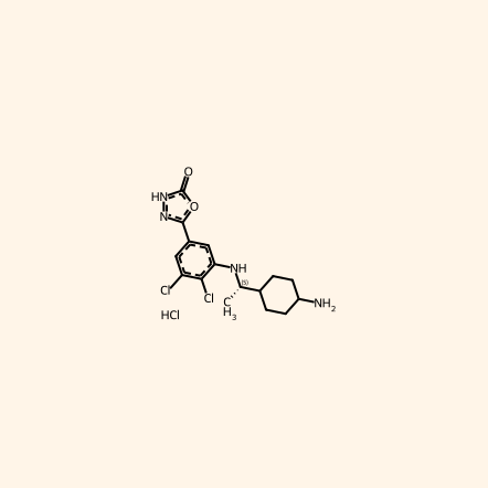 C[C@H](Nc1cc(-c2n[nH]c(=O)o2)cc(Cl)c1Cl)C1CCC(N)CC1.Cl